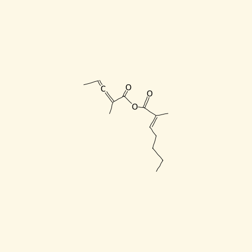 CC=C=C(C)C(=O)OC(=O)C(C)=CCCCC